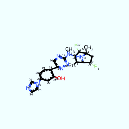 CCC1C2N[C@@](C)(C[C@@H]2F)[C@@H](F)[C@@H]1N(C)c1ncc(-c2ccc(-n3ccnc3)cc2O)nn1